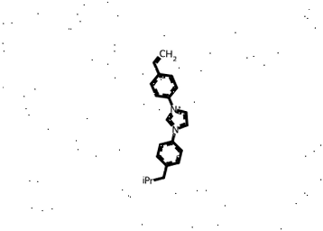 C=Cc1ccc(-[n+]2ccn(-c3ccc(CC(C)C)cc3)c2)cc1